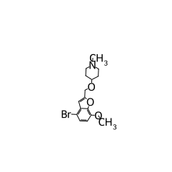 COc1ccc(Br)c2cc(COC3CCN(C)CC3)oc12